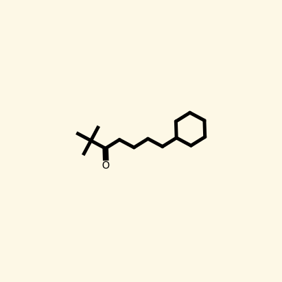 CC(C)(C)C(=O)CCCCC1CCCCC1